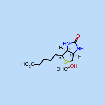 O=C(O)CCCC[C@@H]1SC[C@@H]2NC(=O)N[C@@H]21.O=CO